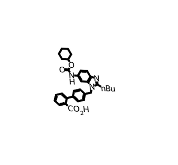 CCCCc1nc2ccc(NC(=O)OC3CCCCC3)cc2n1Cc1ccc(-c2ccccc2C(=O)O)cc1